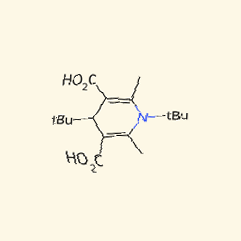 CC1=C(C(=O)O)C(C(C)(C)C)C(C(=O)O)=C(C)N1C(C)(C)C